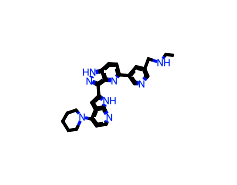 CCNCc1cncc(-c2ccc3[nH]nc(-c4cc5c(N6CCCCC6)ccnc5[nH]4)c3n2)c1